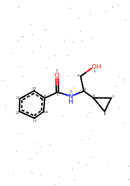 O=C(NC(CO)C1CC1)c1ccccc1